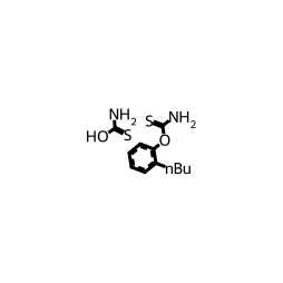 CCCCc1ccccc1OC(N)=S.NC(O)=S